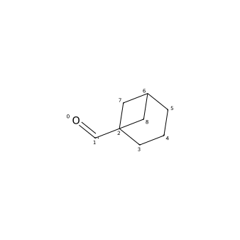 O=[C]C12CCCC(C1)C2